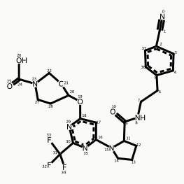 N#Cc1ccc(CCNC(=O)C2CCCN2c2cc(OC3CCN(C(=O)O)CC3)nc(C(F)(F)F)n2)cc1